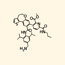 CCCNC(=O)c1ccc(-c2cc3c(cc2C(=O)Nc2c(C(C)C)cc(CN)cc2C(C)C)-c2sccc2CCO3)c(C(=O)OC)n1